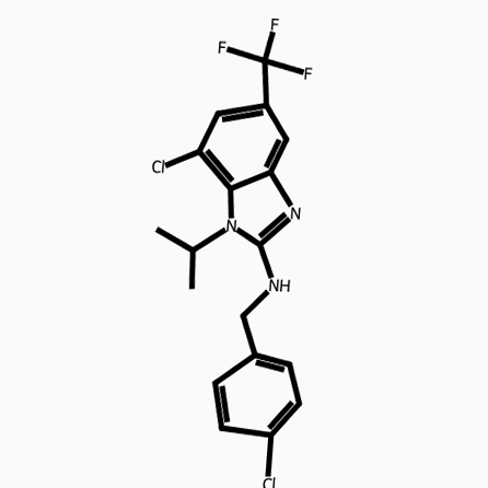 CC(C)n1c(NCc2ccc(Cl)cc2)nc2cc(C(F)(F)F)cc(Cl)c21